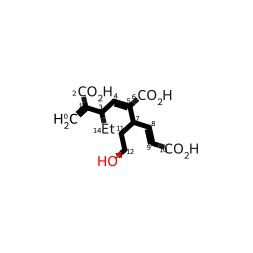 C=C(C(=O)O)C(C=C(C(=O)O)C(C=CC(=O)O)CCO)CC